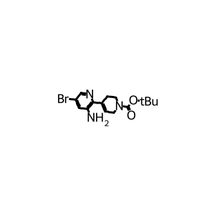 CC(C)(C)OC(=O)N1CC=C(c2ncc(Br)cc2N)CC1